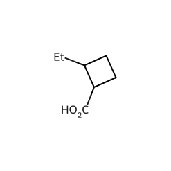 CCC1CCC1C(=O)O